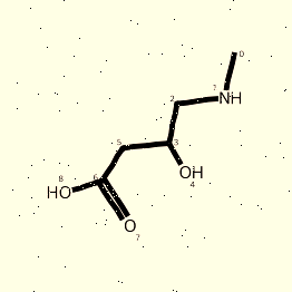 CNCC(O)CC(=O)O